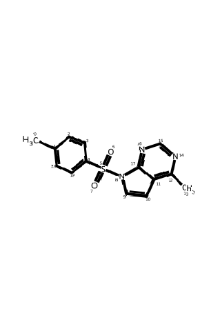 Cc1ccc(S(=O)(=O)n2ccc3c(C)ncnc32)cc1